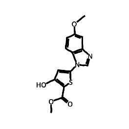 COC(=O)c1sc(-n2cnc3cc(OC)ccc32)cc1O